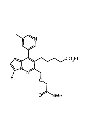 CCOC(=O)CCCCc1c(COCC(=O)NC)nn2c(CC)ccc2c1-c1cncc(C)c1